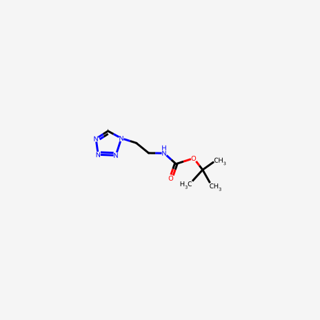 CC(C)(C)OC(=O)NCCn1[c]nnn1